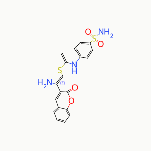 C=C(Nc1ccc(S(N)(=O)=O)cc1)S/C=C(\N)c1cc2ccccc2oc1=O